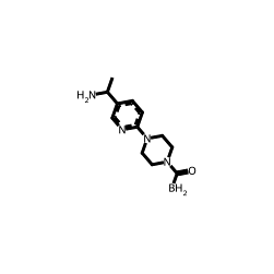 BC(=O)N1CCN(c2ccc(C(C)N)cn2)CC1